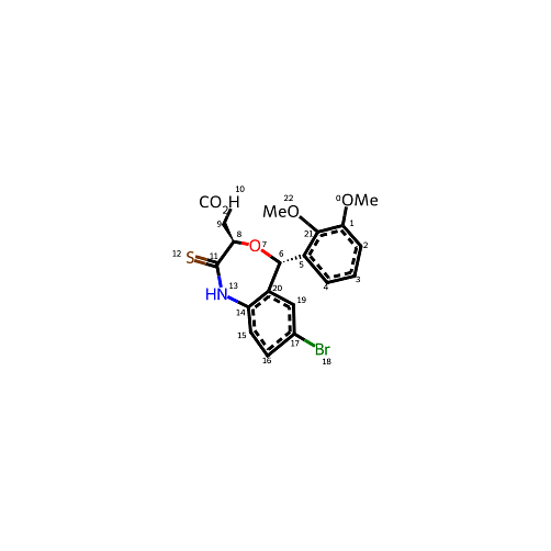 COc1cccc([C@H]2O[C@H](CC(=O)O)C(=S)Nc3ccc(Br)cc32)c1OC